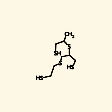 CC(CS)SC(CS)CSCCS